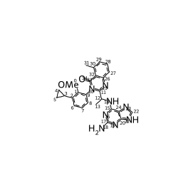 COc1c(C2CC2)cccc1-n1c(C(C)Nc2nc(N)nc3[nH]cnc23)nc2cccc(C)c2c1=O